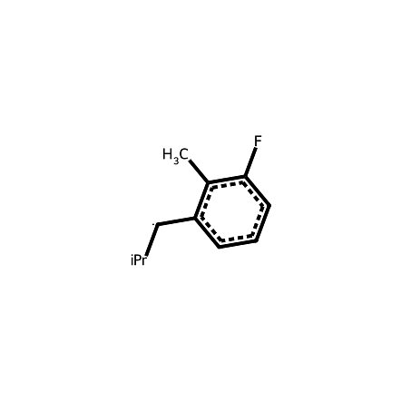 Cc1c(F)cccc1[CH]C(C)C